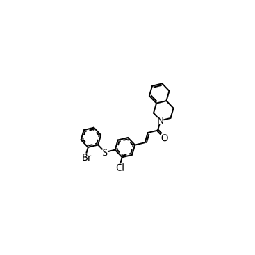 O=C(C=Cc1ccc(Sc2ccccc2Br)c(Cl)c1)N1CCC2CC=CC=C2C1